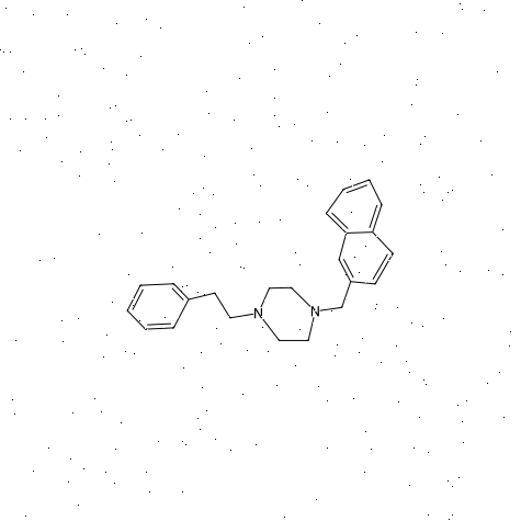 c1ccc(CCN2CCN(Cc3ccc4ccccc4c3)CC2)cc1